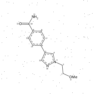 COCCn1cc(-c2ccc(C(N)=O)cc2)cn1